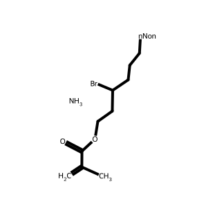 C=C(C)C(=O)OCCC(Br)CCCCCCCCCCCC.N